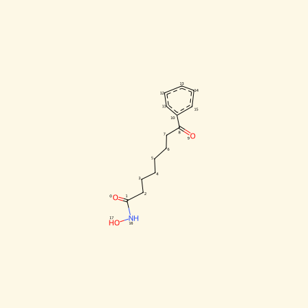 O=C(CCCCCCC(=O)c1ccccc1)NO